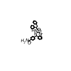 CN1C(=O)C(NC(=O)C(Cc2ccccc2)c2ccccc2)N=C(c2ccc(C(N)=O)cc2)c2ccccc21